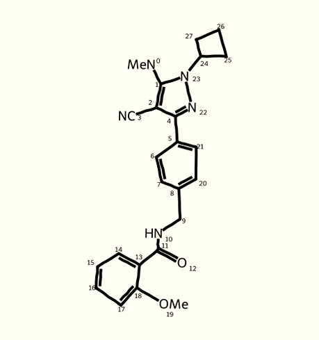 CNc1c(C#N)c(-c2ccc(CNC(=O)c3ccccc3OC)cc2)nn1C1CCC1